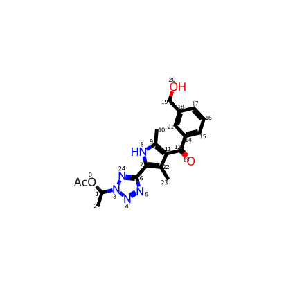 CC(=O)OC(C)n1nnc(-c2[nH]c(C)c(C(=O)c3cccc(CO)c3)c2C)n1